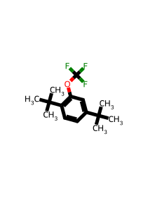 CC(C)(C)c1ccc(C(C)(C)C)c(OC(F)(F)F)c1